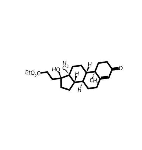 CCOC(=O)CC[C@@]1(O)CC[C@H]2[C@@H]3CCC4=CC(=O)CC[C@]4(C)[C@H]3CC[C@@]21C